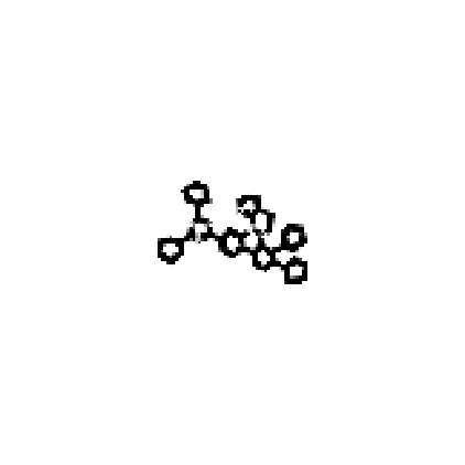 C1=Cc2cccnc2N2B1c1c(ccc(-c3ccccc3)c1-c1ccccc1)-c1ccc(-c3nc(-c4ccccc4)nc(-c4ccccc4)n3)cc12